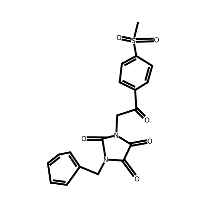 CS(=O)(=O)c1ccc(C(=O)CN2C(=O)C(=O)N(Cc3ccccc3)C2=O)cc1